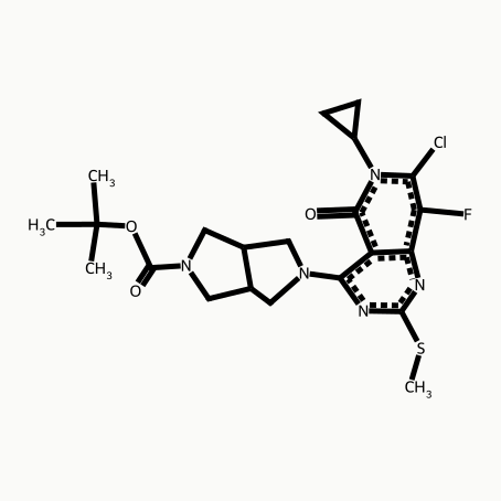 CSc1nc(N2CC3CN(C(=O)OC(C)(C)C)CC3C2)c2c(=O)n(C3CC3)c(Cl)c(F)c2n1